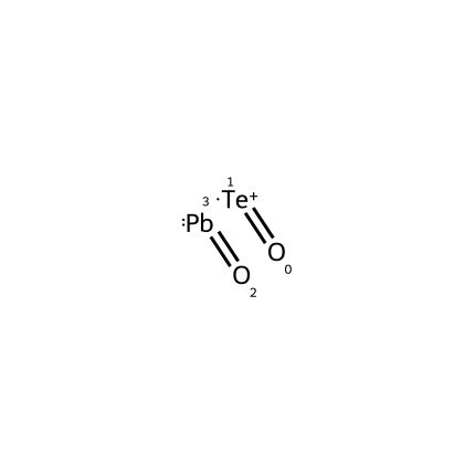 O=[Te+].[O]=[Pb]